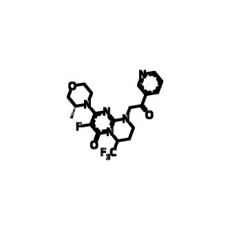 C[C@@H]1COCCN1c1nc2n(c(=O)c1F)C(C(F)(F)F)CCN2CC(=O)c1cccnc1